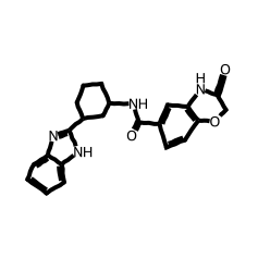 O=C1COc2ccc(C(=O)NC3CCCC(c4nc5ccccc5[nH]4)C3)cc2N1